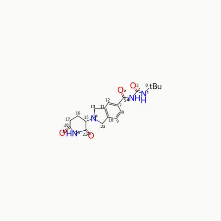 CC(C)(C)NC(=O)NC(=O)c1ccc2c(c1)CN(C1CCC(=O)NC1=O)C2